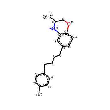 CCc1ccc(CCCCc2ccc3c(c2)NC(C=O)CO3)cc1